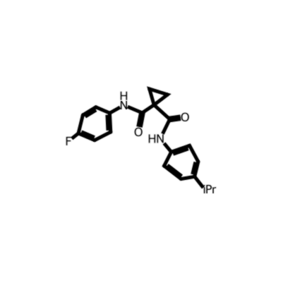 CC(C)c1ccc(NC(=O)C2(C(=O)Nc3ccc(F)cc3)CC2)cc1